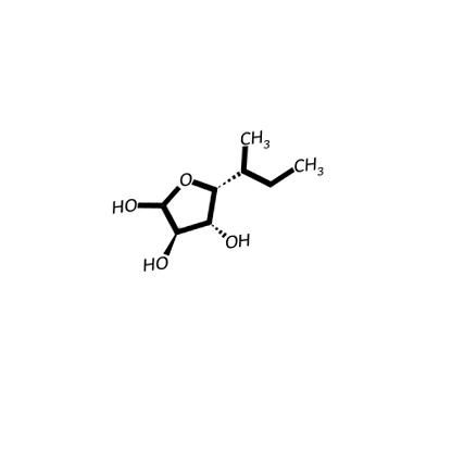 CCC(C)[C@H]1OC(O)[C@H](O)[C@H]1O